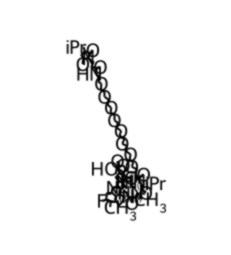 Cc1c(F)cc2nc3c(c4c2c1CC[C@@H]4NC(=O)[C@H](C)NC(=O)[C@H](NC(=O)CCOCCOCCOCCOCCOCCOCCOCCOCCNC(=O)CCN1C(=O)CC(C(C)C)C1=O)C(C)C)Cn1c-3cc2c(c1=O)COC(=O)[C@H]2O